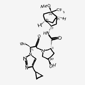 CO[C@]1(C(F)(F)F)C[C@H]2C[C@@H]1C[C@@H]2NC(=O)[C@@H]1C[C@@H](O)CN1C(=O)[C@@H](n1cc(C2CC2)nn1)C(C)(C)C